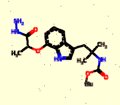 CC(Oc1cccc2c(CC(C)(C)NC(=O)OC(C)(C)C)c[nH]c12)C(=O)NN